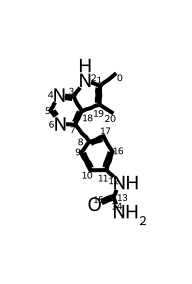 Cc1[nH]c2ncnc(-c3ccc(NC(N)=O)cc3)c2c1C